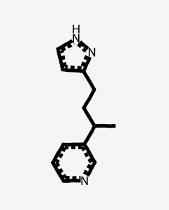 CC(CCc1cc[nH]n1)c1cccnc1